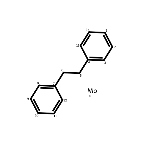 [Mo].c1ccc(CCc2ccccc2)cc1